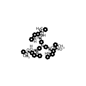 Cc1ccccc1NC(=O)c1cc2ccc3c4ccccc4[nH]c3c2c(N=Nc2ccc(N(c3ccc(N=Nc4c(O)c(C(=O)Nc5ccccc5C)cc5ccc6c7ccccc7[nH]c6c45)cc3)c3ccc(N=Nc4c(O)c(C(N=O)c5ccccc5C)cc5ccc6c7ccccc7[nH]c6c45)cc3)cc2)c1O